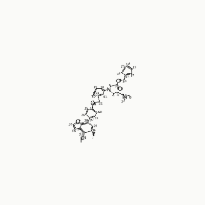 CN(C)CCN(CC(=O)OCc1ccccc1)c1cccc(COc2ccc(-c3cc(F)c(F)c4ccoc34)cc2)c1